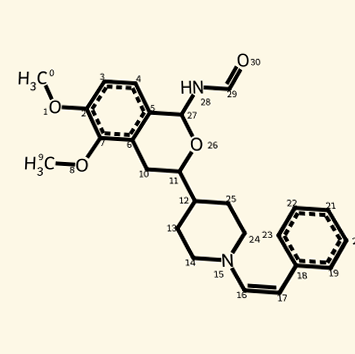 COc1ccc2c(c1OC)CC(C1CCN(/C=C\c3ccccc3)CC1)OC2NC=O